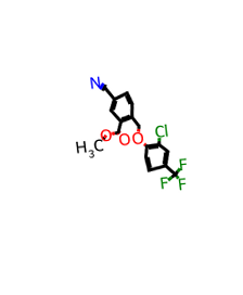 COC(=O)c1cc(C#N)ccc1COc1ccc(C(F)(F)F)cc1Cl